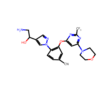 N#Cc1ccc(-n2cc(C(O)CN)cn2)c(Oc2cc(N3CCOCC3)nc(C(F)(F)F)n2)c1